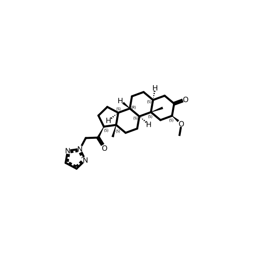 CO[C@H]1C[C@@]2(C)[C@@H](CC[C@@H]3[C@@H]2CC[C@]2(C)[C@@H](C(=O)Cn4nccn4)CC[C@@H]32)CC1=O